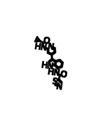 O=C(Nc1cccc2c(-c3ccnc(NC(=O)C4CC4)c3)c[nH]c12)c1cncs1